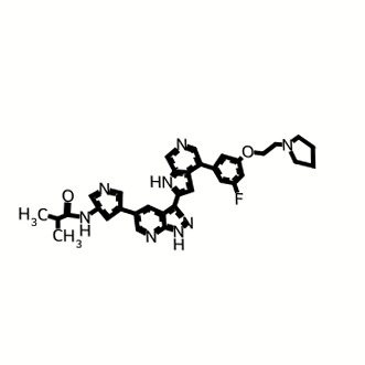 CC(C)C(=O)Nc1cncc(-c2cnc3[nH]nc(-c4cc5c(-c6cc(F)cc(OCCN7CCCC7)c6)cncc5[nH]4)c3c2)c1